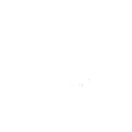 CC(=O)CS(C)(=O)(c1ccc(Cl)cc1)c1ccc(Cl)cc1